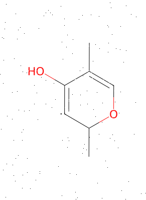 CC1=COC(C)[C]=C1O